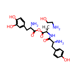 C[C@@H](NC(=O)[C@@H](N)Cc1ccc(O)cc1)C(=O)OC(=O)[C@@H](N)Cc1ccc(O)c(O)c1.NCCO